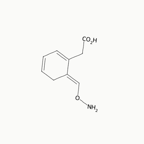 NOC=C1CC=CC=C1CC(=O)O